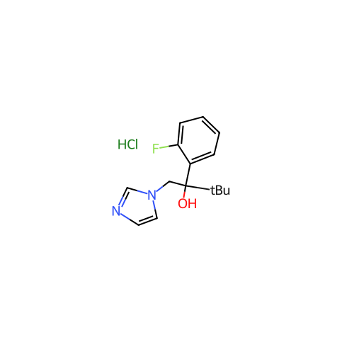 CC(C)(C)C(O)(Cn1ccnc1)c1ccccc1F.Cl